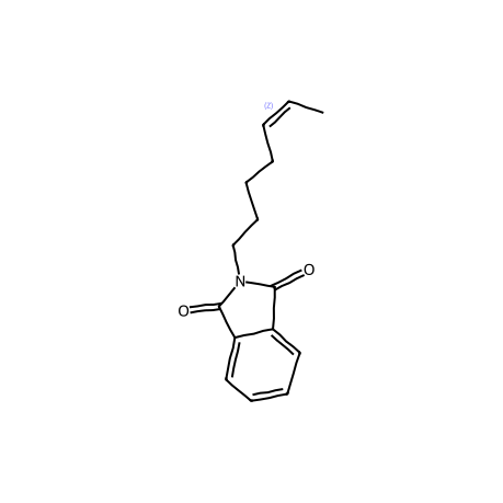 C/C=C\CCCCN1C(=O)c2ccccc2C1=O